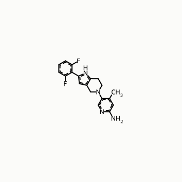 Cc1cc(N)ncc1N1CCc2[nH]c(-c3c(F)cccc3F)cc2C1